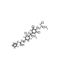 C[C@H](CCl)COc1c(Cl)cc(C(C)(C)c2ccc(OC[C@@H](O)Cn3ccnc3)cc2)cc1Cl